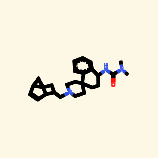 CN(C)C(=O)NC1CCC2(CCN(CC3CC45CC4C=CC35)CC2)c2ccccc21